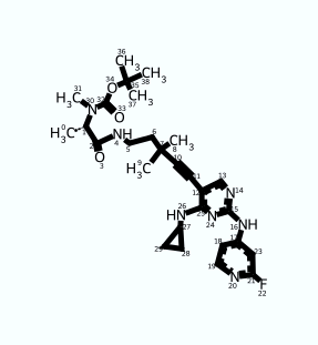 C[C@@H](C(=O)NCCC(C)(C)C#Cc1cnc(Nc2ccnc(F)c2)nc1NC1CC1)N(C)C(=O)OC(C)(C)C